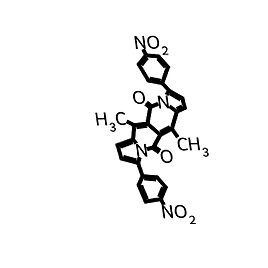 Cc1c2c(=O)n3c(-c4ccc([N+](=O)[O-])cc4)ccc3c(C)c2c(=O)n2c(-c3ccc([N+](=O)[O-])cc3)ccc12